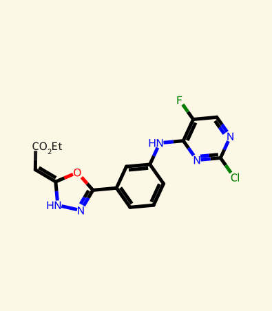 CCOC(=O)C=C1NN=C(c2cccc(Nc3nc(Cl)ncc3F)c2)O1